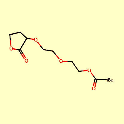 CCC(C)C(=O)OCCOCCOC1CCOC1=O